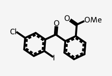 COC(=O)c1ccccc1C(=O)c1cc(Cl)ccc1I